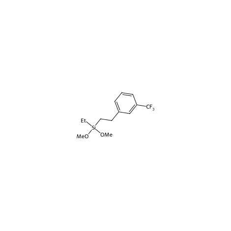 CC[Si](CCc1cccc(C(F)(F)F)c1)(OC)OC